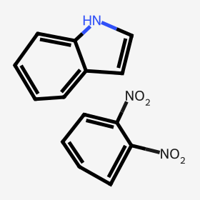 O=[N+]([O-])c1ccccc1[N+](=O)[O-].c1ccc2[nH]ccc2c1